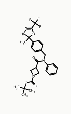 CC(C)(C)OC(=O)N1CC(C(=O)N(Cc2ccc(C3(C)NN=C(C(F)(F)F)O3)cc2)c2ccccc2)C1